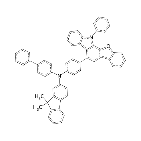 CC1(C)c2ccccc2-c2ccc(N(c3ccc(-c4ccccc4)cc3)c3ccc(-c4cc5c6ccccc6oc5c5c4c4ccccc4n5-c4ccccc4)cc3)cc21